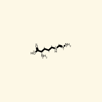 NN=CNCCC[C@H](N)C(=O)O